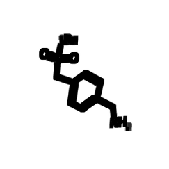 CC(C)(C)S(=O)(=O)Cc1ccc(CN)cc1